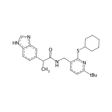 CC(C(=O)NCc1ccc(C(C)(C)C)nc1SC1CCCCC1)c1ccc2[nH]cnc2c1